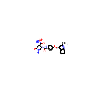 Cc1cc(COc2ccc(C(=O)N[C@@H]3CNC(=O)CC3C(=O)NO)cc2)c2ccccc2n1